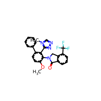 COc1ccc(-c2ccccc2)c(-c2nncn2C)c1N1Cc2c(cccc2C(F)(F)F)C1=O